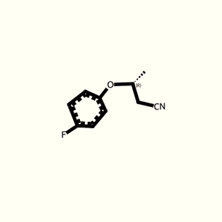 C[C@H](CC#N)Oc1ccc(F)cc1